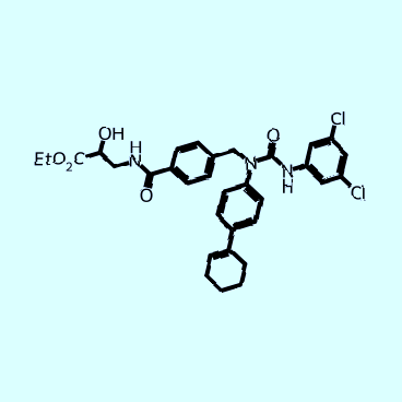 CCOC(=O)C(O)CNC(=O)c1ccc(CN(C(=O)Nc2cc(Cl)cc(Cl)c2)c2ccc(C3=CCCCC3)cc2)cc1